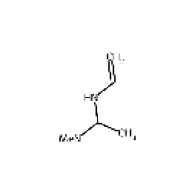 C=CNC(C)NC